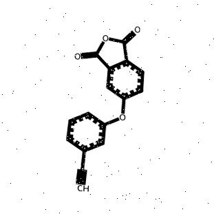 C#Cc1cccc(Oc2ccc3c(c2)C(=O)OC3=O)c1